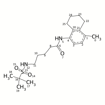 Cc1ccc(NC(=O)CCCCNS(=O)(=O)C(C)(C)C)c2c1CCCC2